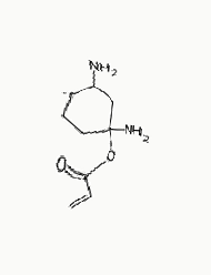 C=CC(=O)OC1(N)CC[CH]C(N)C1